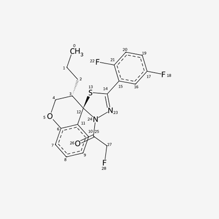 CCC[C@H]1COc2ccccc2[C@]12SC(c1cc(F)ccc1F)=NN2C(=O)CF